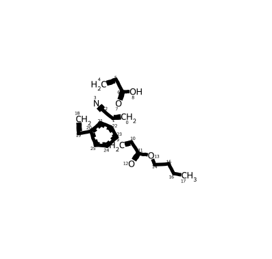 C=CC#N.C=CC(=O)O.C=CC(=O)OCCCC.C=Cc1ccccc1